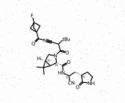 CC(C)(C)C(C#[N+]C(=O)C12CC(F)(C1)C2)C(=O)N1C[C@H]2C([C@H]1C(=O)N[C@H](C#N)C[C@@H]1CCNC1=O)C2(C)C